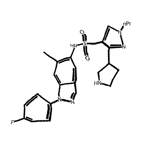 CCCn1cc(S(=O)(=O)Nc2cc3cnn(-c4ccc(F)cc4)c3cc2C)c(C2CCNC2)n1